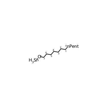 CCCCCCCCCCCCO[SiH3]